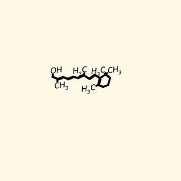 CC1=C(/C=C/C(C)=C/C=C/C=C(\C)CO)C(C)(C)CCC1